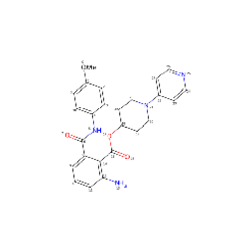 COc1ccc(NC(=O)c2cccc(N)c2C(=O)OC2CCN(c3ccncc3)CC2)cc1